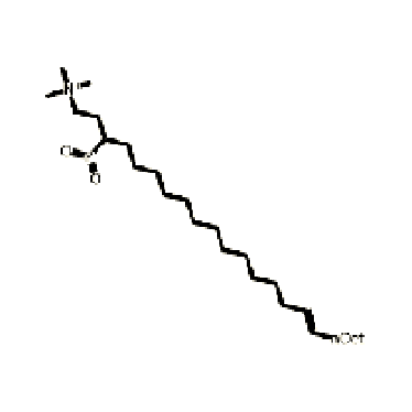 CCCCCCCCC=CCCCCCCCCCCCCC(CC[N+](C)(C)C)P(=O)=O